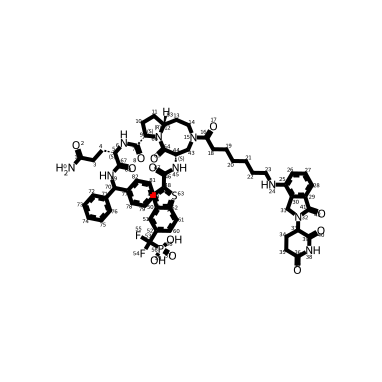 NC(=O)CC[C@H](NC(=O)[C@@H]1CC[C@@H]2CCN(C(=O)CCCCCCNc3cccc4c3CN(C3CCC(=O)NC3=O)C4=O)C[C@H](NC(=O)c3cc4cc(C(F)(F)P(=O)(O)O)ccc4s3)C(=O)N21)C(=O)NC(c1ccccc1)c1ccccc1